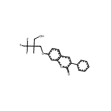 CC(CO)(COc1ccc2cc(-c3ccccc3)c(=O)oc2c1)C(F)(F)F